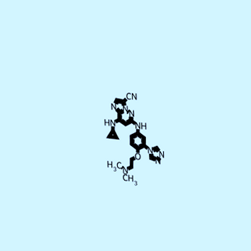 CN(C)CCOc1ccc(Nc2cc(NC3CC3)c3ncc(C#N)n3n2)cc1-n1cnnc1